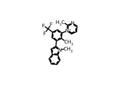 Cc1c(-c2cc3ccccc3n2C)cc(C(F)(F)F)cc1-[n+]1cccnc1C